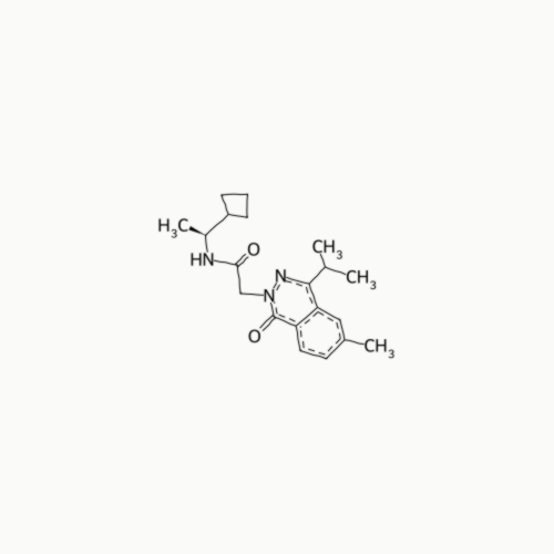 Cc1ccc2c(=O)n(CC(=O)N[C@@H](C)C3CCC3)nc(C(C)C)c2c1